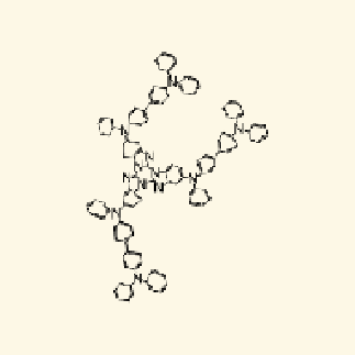 c1ccc(N(c2ccccc2)c2ccc(-c3ccc(N(c4ccccc4)c4ccc5c(c4)nc4n5c5nc6cc(N(c7ccccc7)c7ccc(-c8ccc(N(c9ccccc9)c9ccccc9)cc8)cc7)ccc6n5c5nc6cc(N(c7ccccc7)c7ccc(-c8ccc(N(c9ccccc9)c9ccccc9)cc8)cc7)ccc6n45)cc3)cc2)cc1